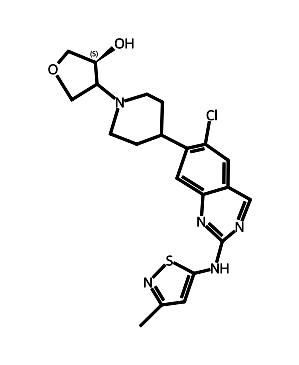 Cc1cc(Nc2ncc3cc(Cl)c(C4CCN(C5COC[C@H]5O)CC4)cc3n2)sn1